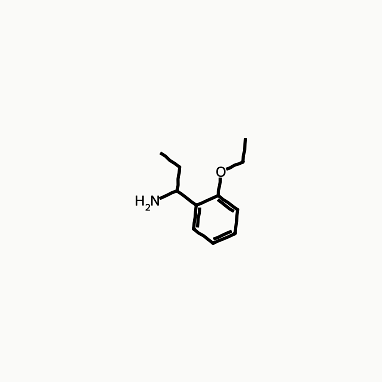 CCOc1ccccc1C(N)CC